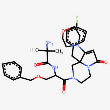 CC(C)(N)C(=O)NC(COCc1ccccc1)C(=O)N1CCN2C(=O)C=C(N3CCOCC3)C2(Cc2ccc(F)cc2)C1